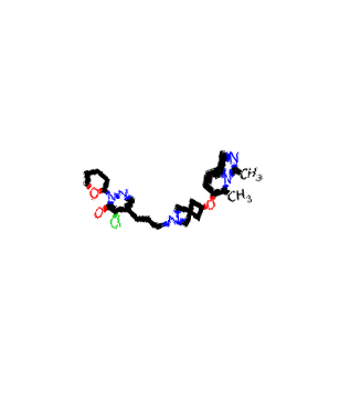 Cc1ncc2ccc(OC3CC4(C3)CN(CCCc3cnn(C5CCCCO5)c(=O)c3Cl)C4)c(C)n12